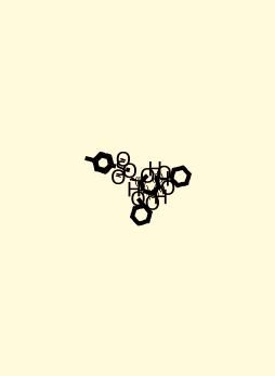 Cc1ccc(S(=O)(=O)OC[C@H]2O[C@@H]3OC4(CCCCC4)O[C@@H]3[C@H]3OC4(CCCCC4)O[C@H]32)cc1